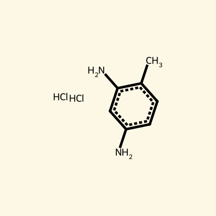 Cc1ccc(N)cc1N.Cl.Cl